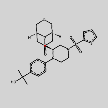 CC(C)(O)c1ccc(N2CCN(S(=O)(=O)c3cccs3)C[C@@H]2CN2[C@@H]3COC[C@H]2CC(=O)C3)cc1